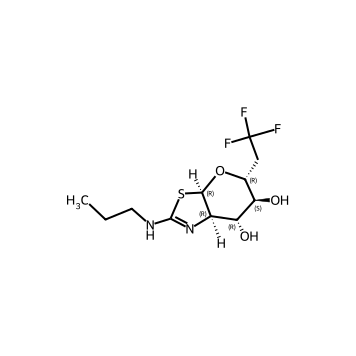 CCCNC1=N[C@@H]2[C@@H](O)[C@H](O)[C@@H](CC(F)(F)F)O[C@@H]2S1